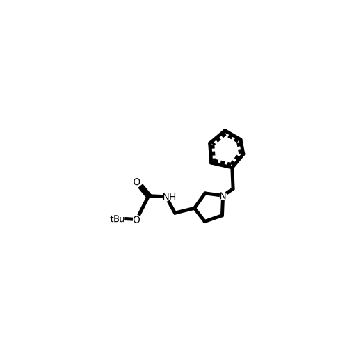 CC(C)(C)OC(=O)NCC1CCN(Cc2ccccc2)C1